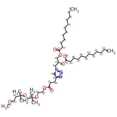 CCCCCCCCCCCC(=O)OCC(Cn1cc(CCC(=O)OCCOC(C)(C)COC(C)(C)CCOC)nn1)OC(=O)CCCCCCCCCCC